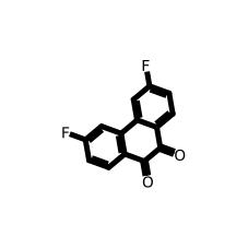 O=C1C(=O)c2ccc(F)cc2-c2cc(F)ccc21